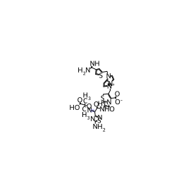 CC(C)(O/N=C(\C(=O)N[C@@H]1C(=O)N2C(C(=O)[O-])=C(C[n+]3ccc4n(Cc5cc(C(=N)N)cs5)ccn43)CS[C@H]12)c1nsc(N)n1)C(=O)O